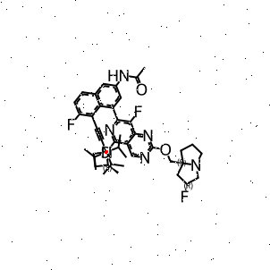 CC(=O)Nc1cc(-c2nc(N3CC[C@@H]3C)c3cnc(OC[C@@]45CCCN4C[C@H](F)C5)nc3c2F)c2c(C#C[Si](C(C)C)(C(C)C)C(C)C)c(F)ccc2c1